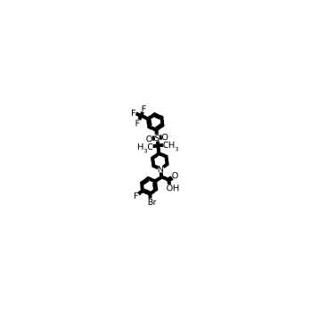 CC(C)(C1CCN(C(C(=O)O)c2ccc(F)c(Br)c2)CC1)S(=O)(=O)c1cccc(C(F)(F)F)c1